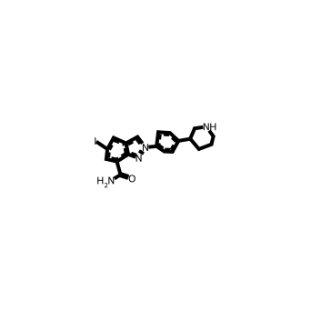 NC(=O)c1cc(I)cc2cn(-c3ccc(C4CCCNC4)cc3)nc12